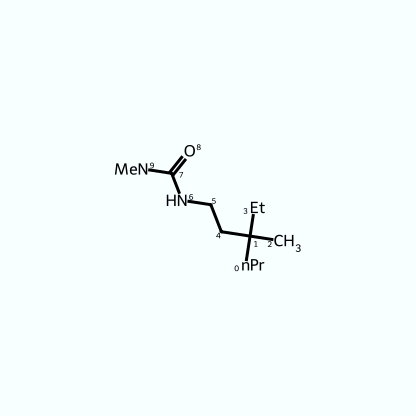 CCCC(C)(CC)CCNC(=O)NC